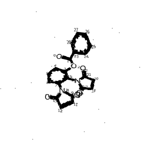 O=C(Oc1cccc(N2C(=O)C=CC2=O)c1N1C(=O)C=CC1=O)c1ccccc1